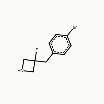 FC1(Cc2ccc(Br)cc2)CNC1